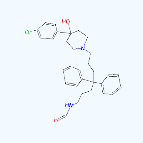 O=CNCCCC(CCCN1CCC(O)(c2ccc(Cl)cc2)CC1)(c1ccccc1)c1ccccc1